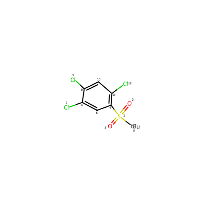 CC(C)(C)S(=O)(=O)c1cc(Cl)c(Cl)cc1Cl